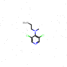 CNCCN(C)c1c(Cl)cncc1Cl